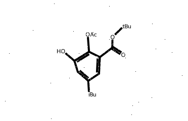 CCC(C)c1cc(O)c(OC(C)=O)c(C(=O)OC(C)(C)C)c1